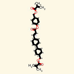 C=C(C)C(=O)OCc1ccc(OC(=O)/C=C/c2ccc(-c3ccc(COC(=O)C(=C)C)cc3)cc2)cc1